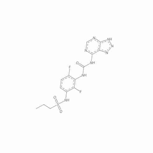 CCCS(=O)(=O)Nc1ccc(F)c(NC(=O)Nc2ncnc3[nH]nnc23)c1F